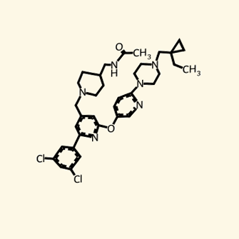 CCC1(CN2CCN(c3ccc(Oc4cc(CN5CCC(CNC(C)=O)CC5)cc(-c5cc(Cl)cc(Cl)c5)n4)cn3)CC2)CC1